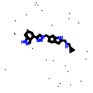 c1cc(-c2cn(Cc3ccc4cc(CNCC5CC5)[nH]c4c3)nn2)c2cn[nH]c2c1